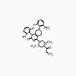 C=CC(=O)N1C[C@H](C)N(c2nc(=O)n(-c3c(F)ccnc3C(C)C)c3c2CCN(c2c(N)cccc2F)C3)C[C@H]1C